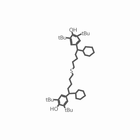 CC(C)(C)c1cc(C(CCCCSCCCCC(c2cc(C(C)(C)C)c(O)c(C(C)(C)C)c2)C2CCCCC2)C2CCCCC2)cc(C(C)(C)C)c1O